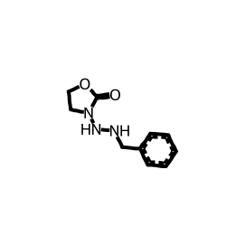 O=C1OCCN1NNCc1ccccc1